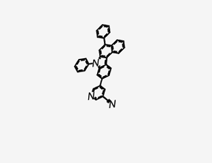 N#Cc1cncc(-c2ccc3c4c5ccccc5c(-c5ccccc5)cc4n(-c4ccccc4)c3c2)c1